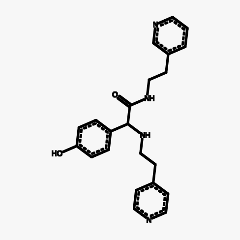 O=C(NCCc1cccnc1)C(NCCc1ccncc1)c1ccc(O)cc1